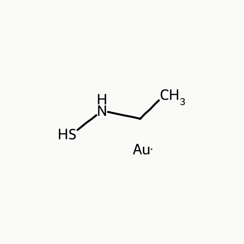 CCNS.[Au]